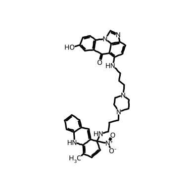 CC1=C2Nc3ccccc3C=C2C(NCCCN2CCN(CCCNc3ccc4ncn5c6ccc(O)cc6c(=O)c3c45)CC2)([N+](=O)[O-])C=C1